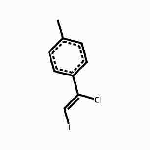 Cc1ccc(C(Cl)=CI)cc1